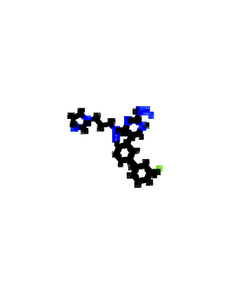 Nc1ncc(-c2cccc(-c3cccc(F)c3)c2)c(NCCCN2C=NCC2)n1